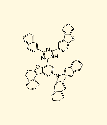 c1ccc2cc(C3=NC(c4cc(-n5c6cc7ccccc7cc6c6cc7ccccc7cc65)cc5c4oc4ccc6ccccc6c45)NC(c4ccc5sc6ccccc6c5c4)=N3)ccc2c1